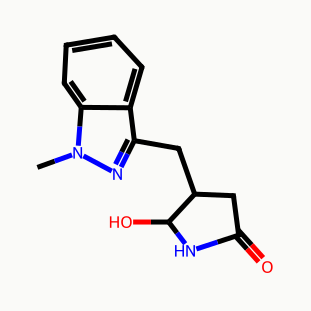 Cn1nc(CC2CC(=O)NC2O)c2ccccc21